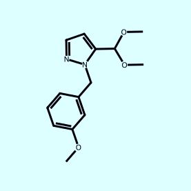 COc1cccc(Cn2nccc2C(OC)OC)c1